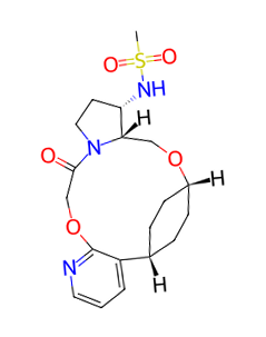 CS(=O)(=O)N[C@H]1CCN2C(=O)COc3ncccc3[C@H]3CC[C@H](CC3)OC[C@@H]12